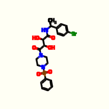 C[C@H](NC(=O)[C@H](O)[C@@H](O)C(=O)N1CCN(S(=O)(=O)c2ccccc2)CC1)c1ccc(Br)cc1